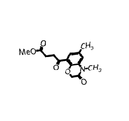 COC(=O)CCC(=O)c1cc(C)cc2c1OCC(=O)N2C